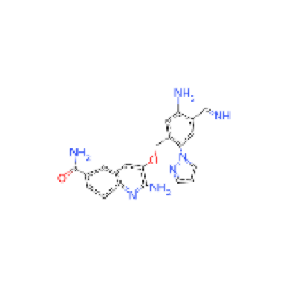 N=Cc1cc(-n2cccn2)c(COc2cc3cc(C(N)=O)ccc3nc2N)cc1N